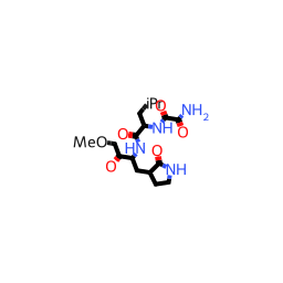 COCC(=O)C(CC1CCNC1=O)NC(=O)C(CC(C)C)NC(=O)C(N)=O